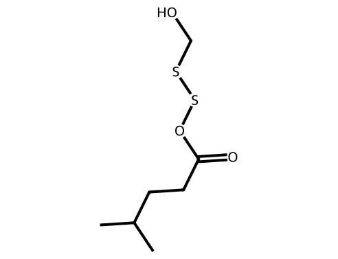 CC(C)CCC(=O)OSSCO